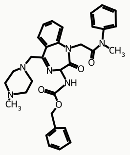 CN1CCN(CC2=NC(NC(=O)OCc3ccccc3)C(=O)N(CC(=O)N(C)c3ccccc3)c3ccccc32)CC1